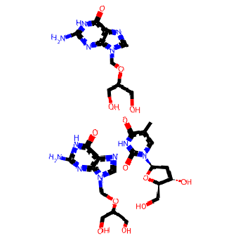 Cc1cn([C@H]2C[C@H](O)[C@@H](CO)O2)c(=O)[nH]c1=O.Nc1nc2c(ncn2COC(CO)CO)c(=O)[nH]1.Nc1nc2c(ncn2COC(CO)CO)c(=O)[nH]1